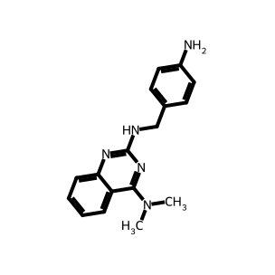 CN(C)c1nc(NCc2ccc(N)cc2)nc2ccccc12